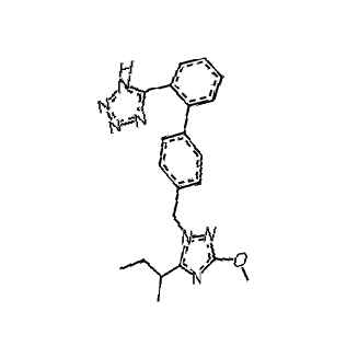 CCC(C)c1nc(OC)nn1Cc1ccc(-c2ccccc2-c2nnn[nH]2)cc1